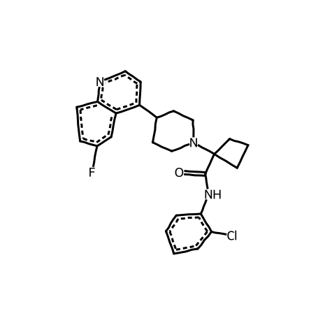 O=C(Nc1ccccc1Cl)C1(N2CCC(c3ccnc4ccc(F)cc34)CC2)CCC1